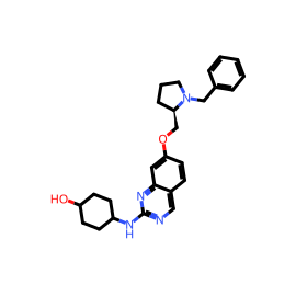 OC1CCC(Nc2ncc3ccc(OC[C@H]4CCCN4Cc4ccccc4)cc3n2)CC1